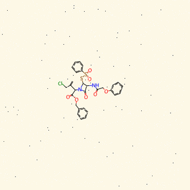 C=C(CCl)C(C(=O)OCc1ccccc1)N1C(=O)C(NC(=O)COc2ccccc2)C1SS(=O)(=O)c1ccccc1